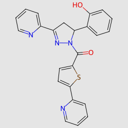 O=C(c1ccc(-c2ccccn2)s1)N1N=C(c2ccccn2)CC1c1ccccc1O